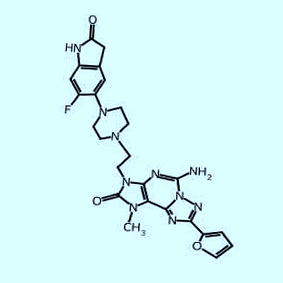 Cn1c(=O)n(CCN2CCN(c3cc4c(cc3F)NC(=O)C4)CC2)c2nc(N)n3nc(-c4ccco4)nc3c21